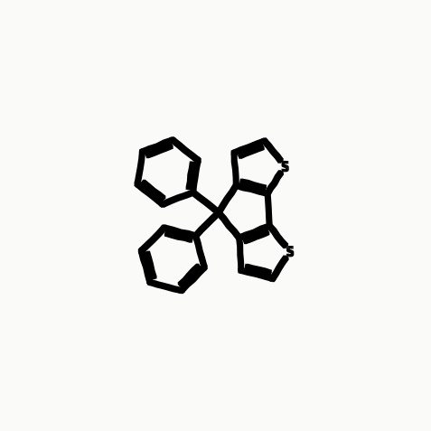 c1ccc(C2(c3ccccc3)c3ccsc3-c3sccc32)cc1